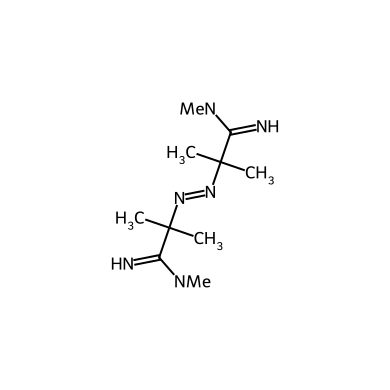 CNC(=N)C(C)(C)N=NC(C)(C)C(=N)NC